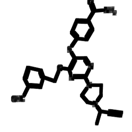 C#CC(C)N1CCN(c2ncc(Sc3ccc(C(N)=O)cc3)c(OCc3cccc(C=O)c3)n2)CC1